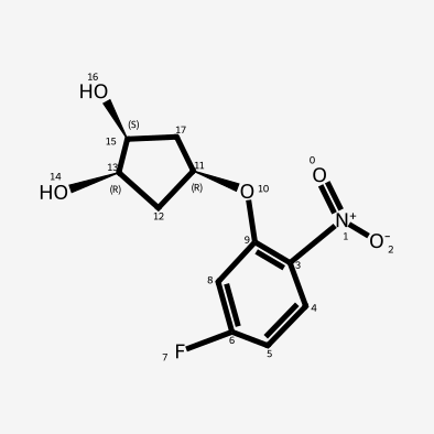 O=[N+]([O-])c1ccc(F)cc1O[C@H]1C[C@@H](O)[C@@H](O)C1